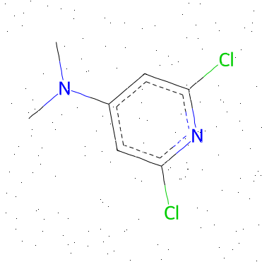 CN(C)c1cc(Cl)nc(Cl)c1